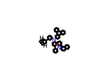 c1cc(N(c2ccc(-c3ccccc3-n3c4ccccc4c4c5ccccc5ccc43)cc2)c2ccc3c4ccccc4c4ccccc4c3c2)cc(C23C[C@@H]4CC5C[C@@H](C2)C54C3)c1